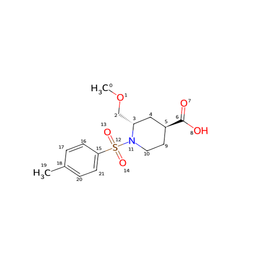 COC[C@@H]1C[C@@H](C(=O)O)CCN1S(=O)(=O)c1ccc(C)cc1